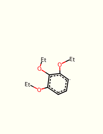 CCOc1[c]ccc(OCC)c1OCC